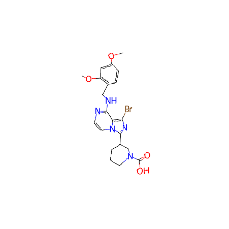 COc1ccc(CNc2nccn3c(C4CCCN(C(=O)O)C4)nc(Br)c23)c(OC)c1